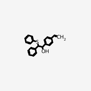 C=Cc1ccc(C(O)C(Sc2ccccc2)c2ccccc2)cc1